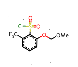 COCOc1cccc(C(F)(F)F)c1S(=O)(=O)Cl